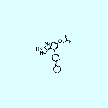 FC(F)COc1cc(-c2ccc(N3CCCCC3)nc2)c2c3cn[nH]c3nn2c1